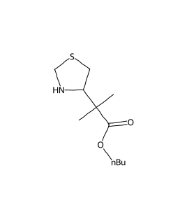 CCCCOC(=O)C(C)(C)C1CSCN1